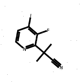 CC(C)(C#N)c1nccc(I)c1F